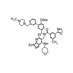 CCc1nc2c(cnn2CC)c(NC2CCOCC2)c1CN(Cc1ccc(OC)c(-c2cccc(CN3CCN(C)CC3)c2)c1)C(=O)c1cc(C)cc(C(N)=O)c1